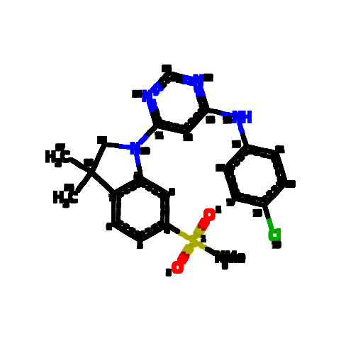 CNS(=O)(=O)c1ccc2c(c1)N(c1cc(Nc3ccc(Cl)cc3)ncn1)CC2(C)C